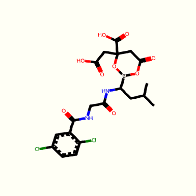 CC(C)CC(NC(=O)CNC(=O)c1cc(Cl)ccc1Cl)B1OC(=O)CC(CC(=O)O)(C(=O)O)O1